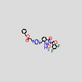 NC(=O)N(C(=O)c1cccc(CN2CCN(CCC(=O)OCc3ccccc3)CC2)c1)c1coc2c(F)cc(F)cc12